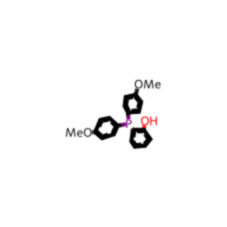 COc1ccc(P(c2ccc(OC)cc2)c2ccccc2O)cc1